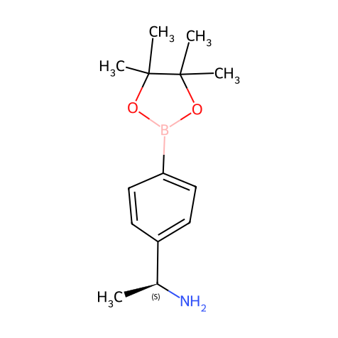 C[C@H](N)c1ccc(B2OC(C)(C)C(C)(C)O2)cc1